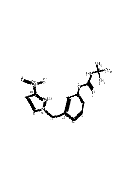 CC(C)(C)NC(=O)Oc1cccc(Cn2ccc([N+](=O)[O-])n2)c1